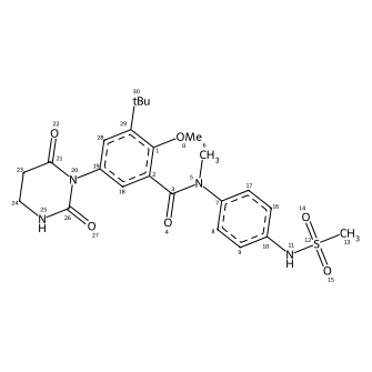 COc1c(C(=O)N(C)c2ccc(NS(C)(=O)=O)cc2)cc(N2C(=O)CCNC2=O)cc1C(C)(C)C